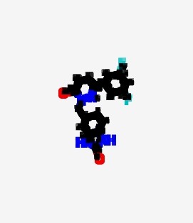 O=c1[nH]c2ccc(Cn3nc(-c4cc(F)cc(F)c4)ccc3=O)cc2[nH]1